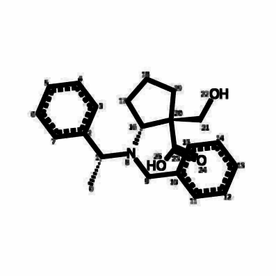 C[C@H](c1ccccc1)N(Cc1ccccc1)[C@@H]1CCC[C@]1(CO)C(=O)O